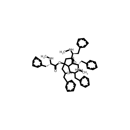 CN[C@@H](Cc1ccccc1)C(=O)CC(CC(O)Cc1ccccc1)(OC(=O)[C@H](Cc1ccccc1)NC)[C](CC(O)Cc1ccccc1)C(=O)[C@H](Cc1ccccc1)NC